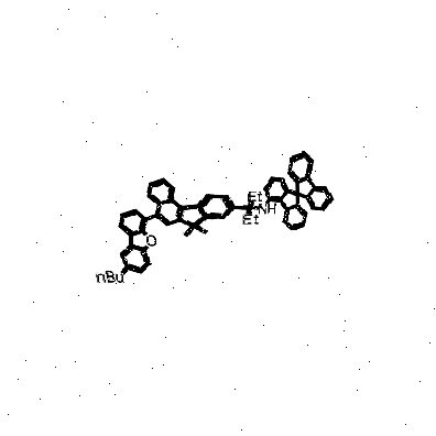 CCCCc1ccc2oc3c(-c4cc5c(c6ccccc46)-c4ccc(C(CC)(CC)Nc6cccc7c6-c6ccccc6C76c7ccccc7-c7ccccc76)cc4C5(C)C)cccc3c2c1